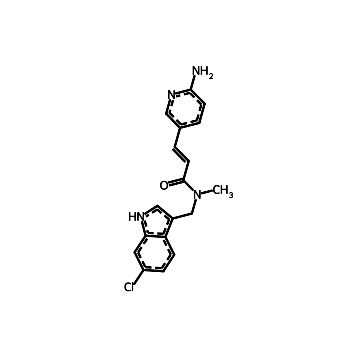 CN(Cc1c[nH]c2cc(Cl)ccc12)C(=O)/C=C/c1ccc(N)nc1